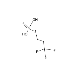 OP(O)(=S)SCCC(F)(F)F